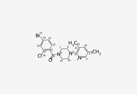 Cc1cnc(N2CCN(C(=O)c3ccc(Br)cc3Cl)CC2)c(C)c1